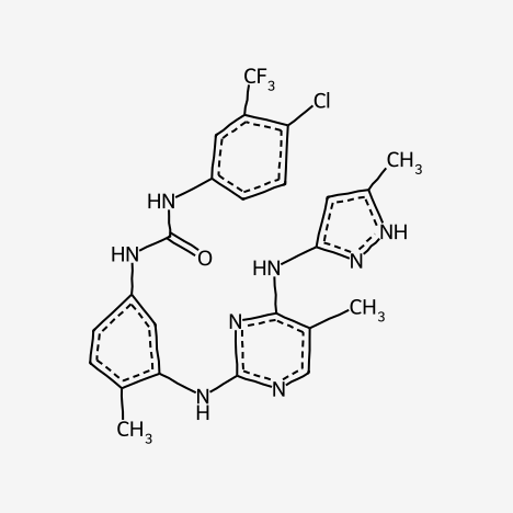 Cc1cc(Nc2nc(Nc3cc(NC(=O)Nc4ccc(Cl)c(C(F)(F)F)c4)ccc3C)ncc2C)n[nH]1